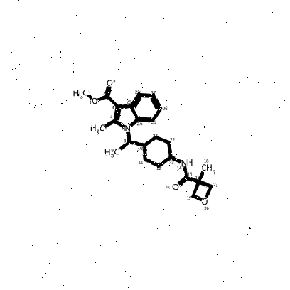 COC(=O)c1c(C)n(C(C)C2CCC(NC(=O)C3(C)COC3)CC2)c2ccccc12